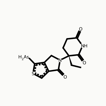 CC[C@@]1(N2Cc3c(csc3[AsH2])C2=O)CCC(=O)NC1=O